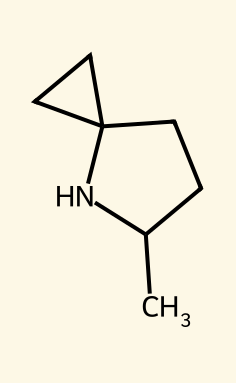 CC1CCC2(CC2)N1